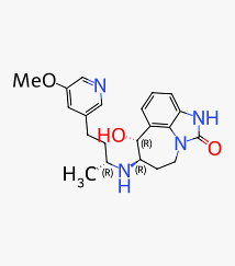 COc1cncc(CC[C@@H](C)N[C@@H]2CCn3c(=O)[nH]c4cccc(c43)[C@H]2O)c1